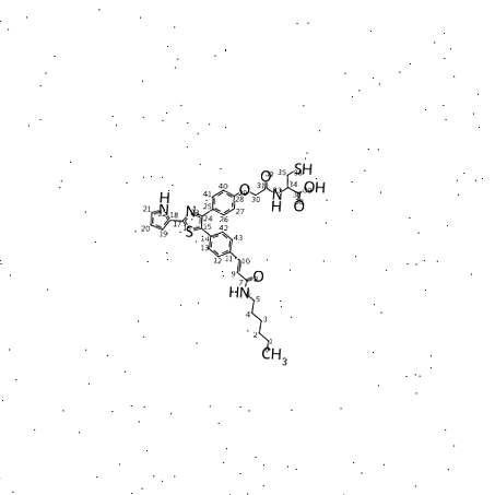 CCCCCCNC(=O)C=Cc1ccc(-c2sc(-c3ccc[nH]3)nc2-c2ccc(OCC(=O)NC(CS)C(=O)O)cc2)cc1